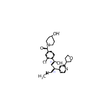 C=N/C=C(\C=C(/C)c1ccc(C(=O)N2CCC(O)CC2)cc1Cl)c1ccnc(C2CCOC2)c1